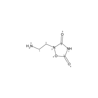 NCCn1oc(=O)[nH]c1=O